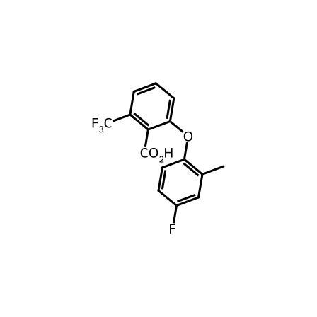 Cc1cc(F)ccc1Oc1cccc(C(F)(F)F)c1C(=O)O